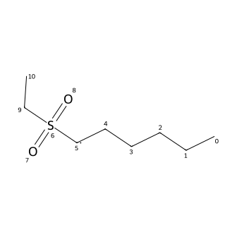 CCCCC[CH]S(=O)(=O)CC